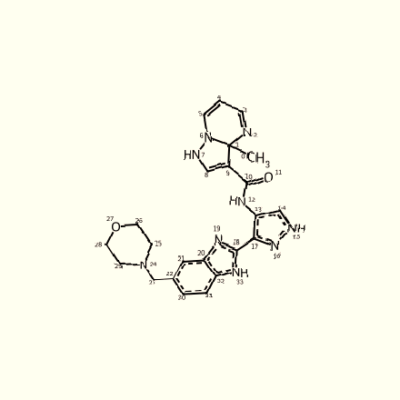 CC12N=CC=CN1NC=C2C(=O)Nc1c[nH]nc1-c1nc2cc(CN3CCOCC3)ccc2[nH]1